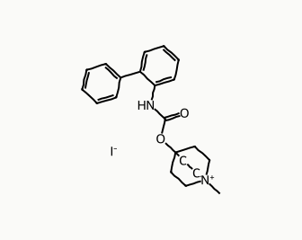 C[N+]12CCC(OC(=O)Nc3ccccc3-c3ccccc3)(CC1)CC2.[I-]